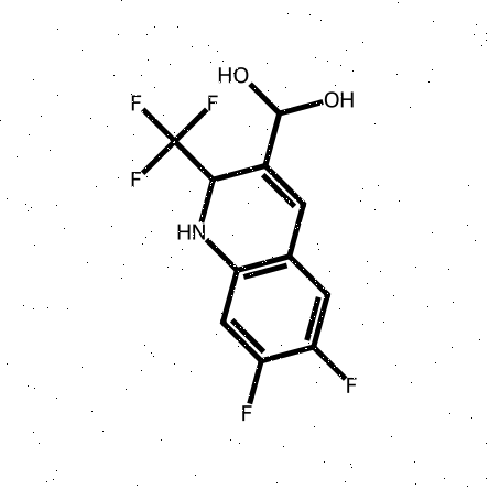 OC(O)C1=Cc2cc(F)c(F)cc2NC1C(F)(F)F